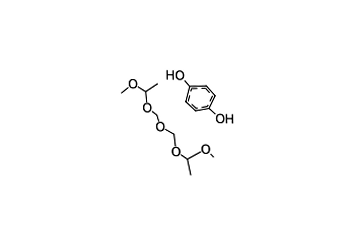 COC(C)OCOCOC(C)OC.Oc1ccc(O)cc1